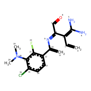 C=CC(=C(N)N)/C(C=O)=N\C(=C)c1ccc(Cl)c(N(C)C)c1F